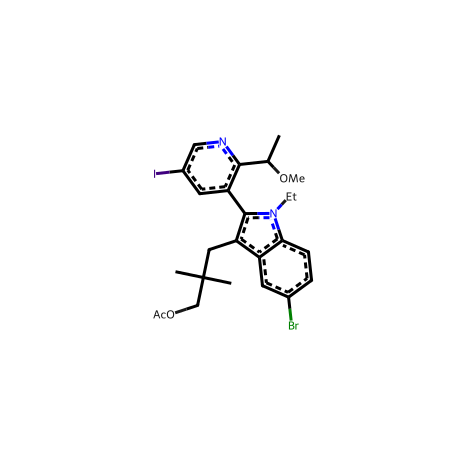 CCn1c(-c2cc(I)cnc2C(C)OC)c(CC(C)(C)COC(C)=O)c2cc(Br)ccc21